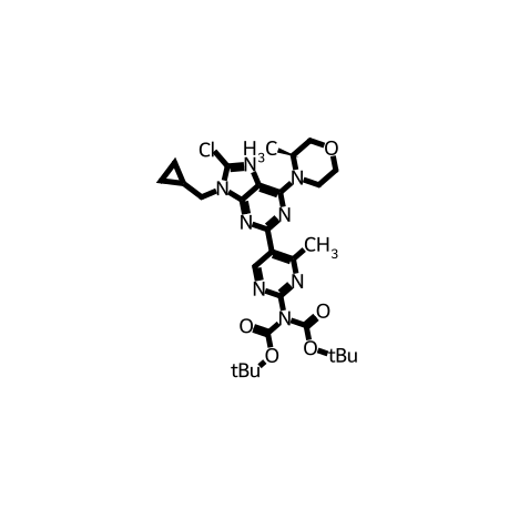 Cc1nc(N(C(=O)OC(C)(C)C)C(=O)OC(C)(C)C)ncc1-c1nc(N2CCOC[C@@H]2C)c2nc(Cl)n(CC3CC3)c2n1